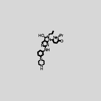 C=CCN1C(O)c2cnc(Nc3cccc(N4CCNCC4)c3)nc2N1c1ccc(=O)n(C(C)C)n1